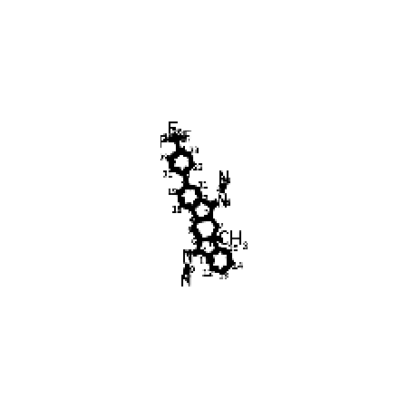 CC12CC3=C(C=C1/C(=N/C#N)c1ccccc12)c1ccc(-c2ccc(C(F)(F)F)cc2)cc1/C3=N\C#N